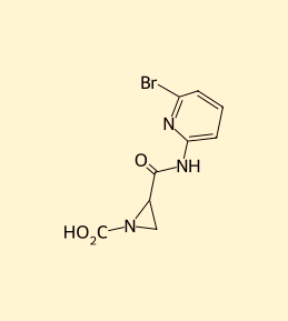 O=C(Nc1cccc(Br)n1)C1CN1C(=O)O